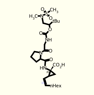 CCCCCC/C=C\C1C[C@]1(NC(=O)C1CCCN1C(=O)CNC(=O)OC(CN(C)S(C)(=O)=O)C(C)(C)C)C(=O)O